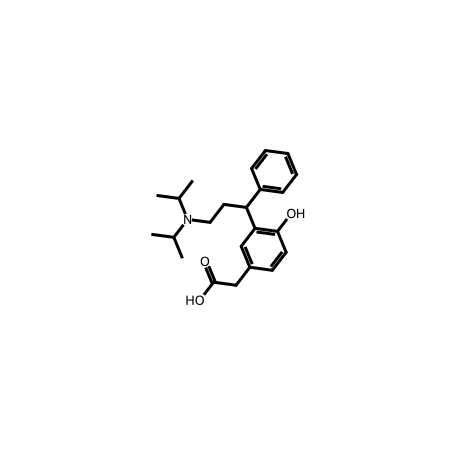 CC(C)N(CCC(c1ccccc1)c1cc(CC(=O)O)ccc1O)C(C)C